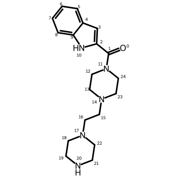 O=C(c1cc2ccccc2[nH]1)N1CCN(CCN2CCNCC2)CC1